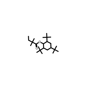 CCC(C)(C)C(=O)OC1C(C(C)(C)C)CC(C(C)(C)C)CC1C(C)(C)C